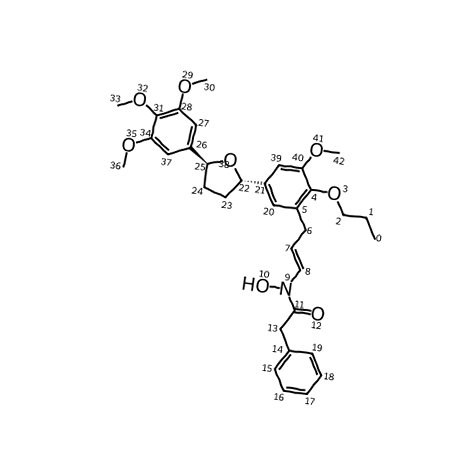 CCCOc1c(CC=CN(O)C(=O)Cc2ccccc2)cc([C@@H]2CC[C@@H](c3cc(OC)c(OC)c(OC)c3)O2)cc1OC